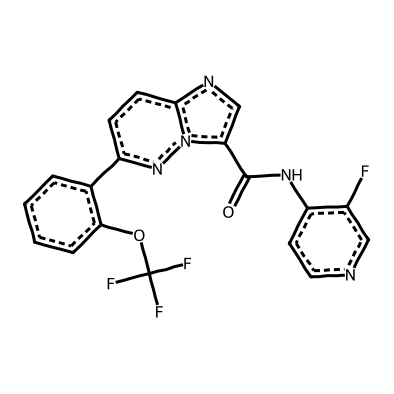 O=C(Nc1ccncc1F)c1cnc2ccc(-c3ccccc3OC(F)(F)F)nn12